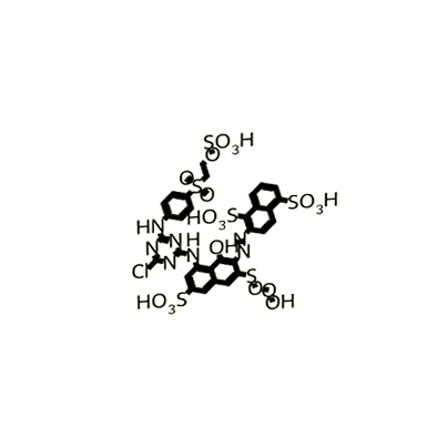 O=S(=O)(O)OCCS(=O)(=O)c1ccc(Nc2nc(Cl)nc(Nc3cc(S(=O)(=O)O)cc4cc(SOOO)c(N=Nc5ccc6c(S(=O)(=O)O)cccc6c5S(=O)(=O)O)c(O)c34)n2)cc1